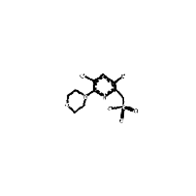 O=S(=O)(Cl)Cc1nc(N2CCOCC2)c(Cl)cc1Cl